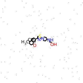 CC1(C)CCC(=O)c2cc(-c3csc(N4CCC(NCCO)CC4)n3)ccc21